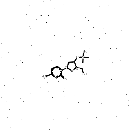 CC(C)(C)[Si](C)(C)OC1C[C@H](n2ccc(N)nc2=O)O[C@@H]1CO